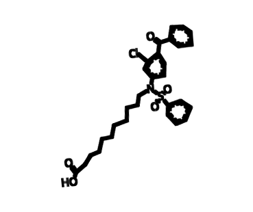 O=C(O)CCCCCCCCCCN(c1ccc(C(=O)c2ccccc2)c(Cl)c1)S(=O)(=O)c1ccccc1